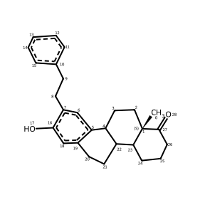 C[C@]12CCC3c4cc(CCc5ccccc5)c(O)cc4CCC3C1CCCC2=O